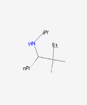 CCCC(NC(C)C)C(C)(C)CC